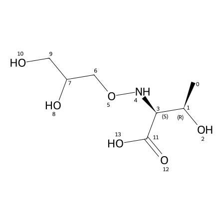 C[C@@H](O)[C@H](NOCC(O)CO)C(=O)O